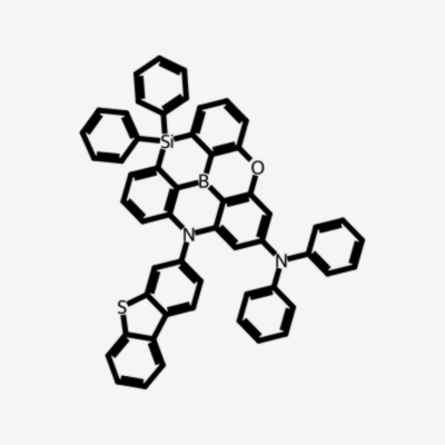 c1ccc(N(c2ccccc2)c2cc3c4c(c2)N(c2ccc5c(c2)sc2ccccc25)c2cccc5c2B4c2c(cccc2[Si]5(c2ccccc2)c2ccccc2)O3)cc1